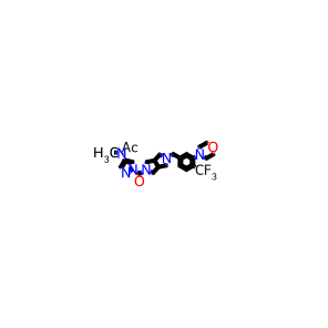 CC(=O)N(C)c1cnn(C(=O)N2CC3CN(Cc4ccc(C(F)(F)F)c(N5CCOCC5)c4)CC3C2)c1